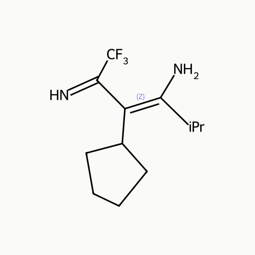 CC(C)/C(N)=C(/C(=N)C(F)(F)F)C1CCCC1